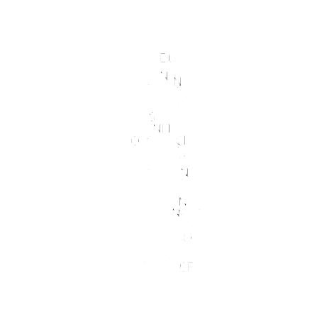 CCn1cc(SNC(=O)c2ccc(-n3ccc(OCC4(C(F)(F)F)CC4)n3)nc2Cl)cn1